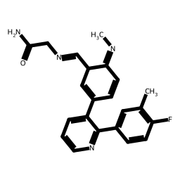 C/N=C1/C=CC(c2cccnc2-c2ccc(F)c(C)c2)=CC1/C=N/CC(N)=O